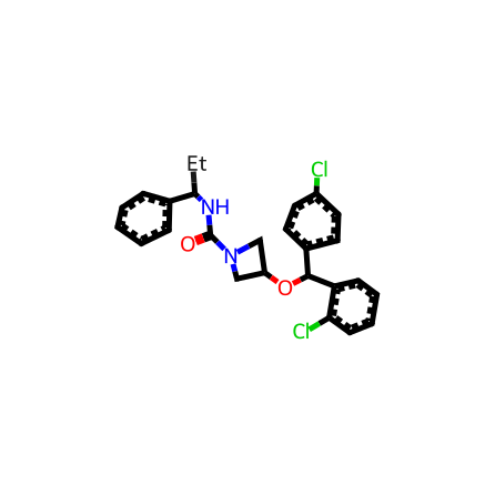 CCC(NC(=O)N1CC(OC(c2ccc(Cl)cc2)c2ccccc2Cl)C1)c1ccccc1